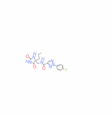 CCCC1(CNC(=O)c2cnn(-c3ccc(F)cc3)n2)NC(=O)NC1=O